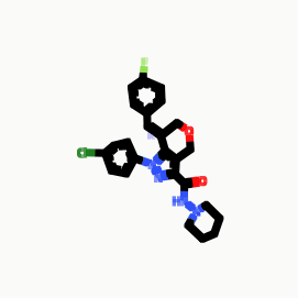 O=C(NN1CCCCC1)c1nn(-c2ccc(Cl)cc2)c2c1COC/C2=C\c1ccc(F)cc1